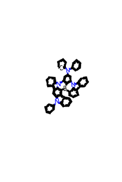 c1ccc(N(c2ccccc2)c2cc3c4c(c2)-n2c5ccccc5c5cc6c(c(c52)B4c2cccc4c5ccccc5n-3c24)c2ccccc2n6-c2ccccc2)cc1